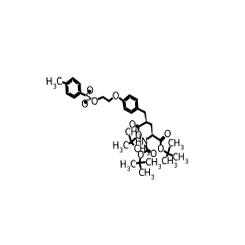 Cc1ccc(S(=O)(=O)OCCOc2ccc(C[C@@H](C[C@H](NC(=O)OC(C)(C)C)C(=O)OC(C)(C)C)C(=O)OC(C)(C)C)cc2)cc1